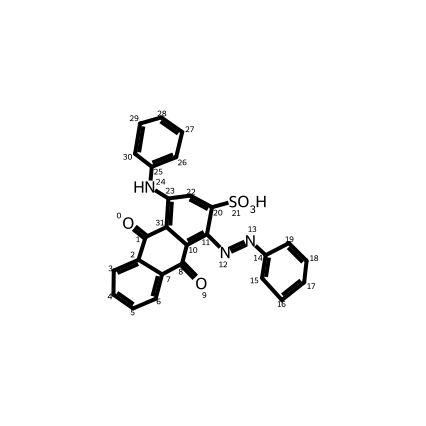 O=C1c2ccccc2C(=O)c2c(/N=N/c3ccccc3)c(S(=O)(=O)O)cc(Nc3ccccc3)c21